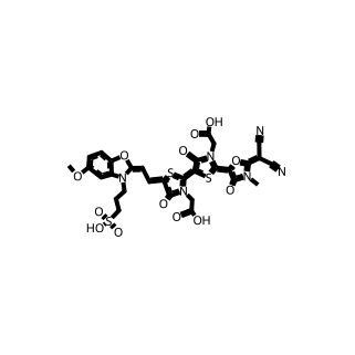 COc1ccc2c(c1)N(CCCS(=O)(=O)O)C(=CC=c1s/c(=c3/s/c(=c4/oc(=C(C#N)C#N)n(C)c4=O)n(CC(=O)O)c3=O)n(CC(=O)O)c1=O)O2